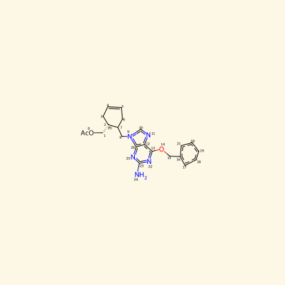 CC(=O)OC[C@@H]1CC=CCC1Cn1cnc2c(OCc3ccccc3)nc(N)nc21